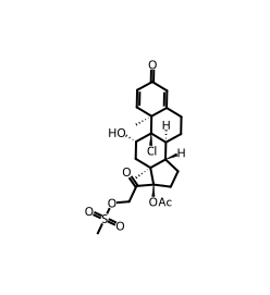 CC(=O)O[C@]1(C(=O)COS(C)(=O)=O)CC[C@H]2[C@@H]3CCC4=CC(=O)C=C[C@]4(C)[C@@]3(Cl)[C@@H](O)C[C@@]21C